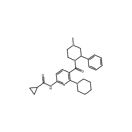 CN1CCN(C(=O)c2ccc(NC(=O)C3CC3)nc2N2CCCCC2)C(c2ccccc2)C1